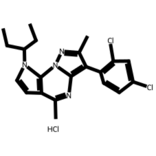 CCC(CC)n1ccc2c(C)nc3c(-c4ccc(Cl)cc4Cl)c(C)nn3c21.Cl